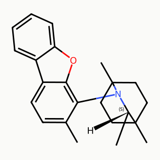 Cc1ccc2c(oc3ccccc32)c1N1[C@@H](C)C2(C)CCC1(C)CC2